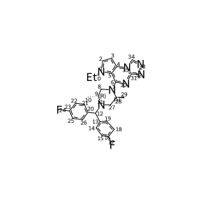 CCn1ccc2c1c(N1C[C@@H](C)N(C(c3ccc(F)cc3)c3ccc(F)cc3)C[C@@H]1C)nc1nncn12